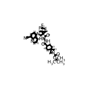 CC(C)(C)OC(=O)N1CC2(CCC(C(=O)NNC(=O)[C@]34CN(c5ccc(C#N)c6ncccc56)C[C@@]3(C(F)(F)F)C4)CC2)C1